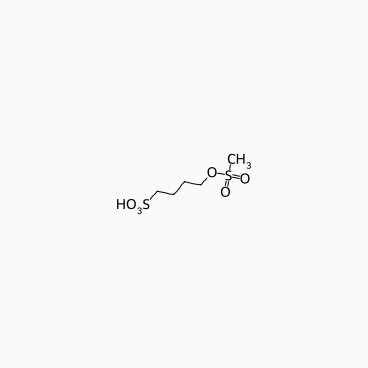 CS(=O)(=O)OCCCCS(=O)(=O)O